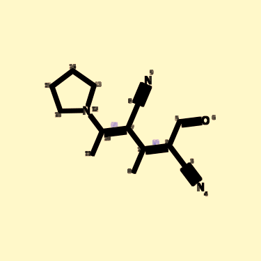 CC(=C(\C#N)C=O)/C(C#N)=C(\C)N1CCCC1